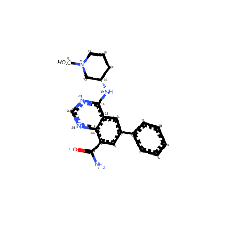 NC(=O)c1cc(-c2ccccc2)cc2c(N[C@H]3CCCN(C(=O)O)C3)ncnc12